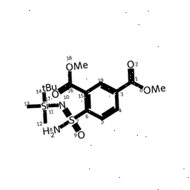 COC(=O)c1ccc(S(N)(=O)=N[Si](C)(C)C(C)(C)C)c(C(=O)OC)c1